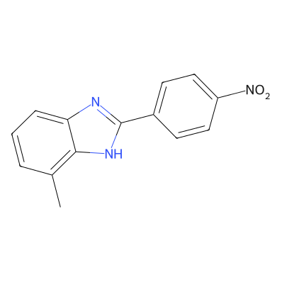 Cc1cccc2nc(-c3ccc([N+](=O)[O-])cc3)[nH]c12